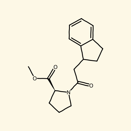 COC(=O)[C@@H]1CCCN1C(=O)CC1CCc2ccccc21